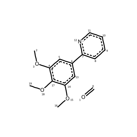 C=O.COc1cc(-c2ccccn2)cc(OC)c1OC